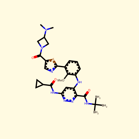 BC(B)(B)NC(=O)c1nnc(NC(=O)C2CC2)cc1Nc1cccc(-c2ncc(C(=O)N3CC(N(C)C)C3)s2)c1OC